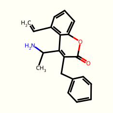 C=Cc1cccc2oc(=O)c(Cc3ccccc3)c(C(C)N)c12